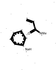 C=CC(=O)NC.[NaH].c1ccccc1